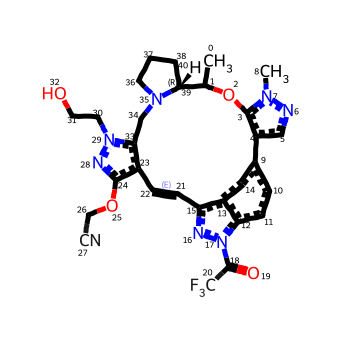 CC1Oc2c(cnn2C)-c2ccc3c(c2)c(nn3C(=O)C(F)(F)F)/C=C/c2c(OCC#N)nn(CCO)c2CN2CCC[C@H]12